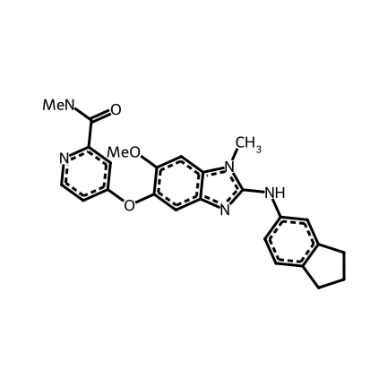 CNC(=O)c1cc(Oc2cc3nc(Nc4ccc5c(c4)CCC5)n(C)c3cc2OC)ccn1